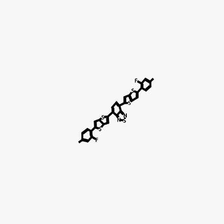 Cc1ccc(C2=CC3SC(c4ccc(-c5cc6sc(-c7ccc(C)cc7F)cc6s5)c5nsnc45)=CC3S2)c(F)c1